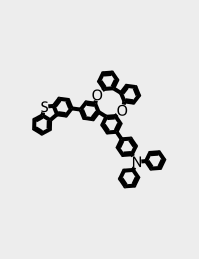 C1=CCC(N(c2ccccc2)c2ccc(-c3ccc4c(c3)Oc3ccccc3-c3ccccc3Oc3cc(-c5ccc6sc7ccccc7c6c5)ccc3-4)cc2)C=C1